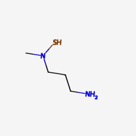 CN(S)CCCN